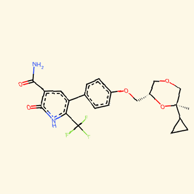 C[C@@]1(C2CC2)COC[C@@H](COc2ccc(-c3cc(C(N)=O)c(=O)[nH]c3C(F)(F)F)cc2)O1